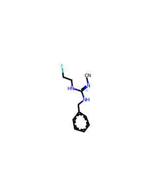 N#C/N=C(\NCCF)NCc1ccccc1